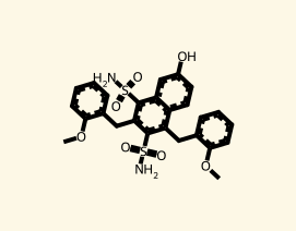 COc1ccccc1Cc1c(S(N)(=O)=O)c(Cc2ccccc2OC)c2ccc(O)cc2c1S(N)(=O)=O